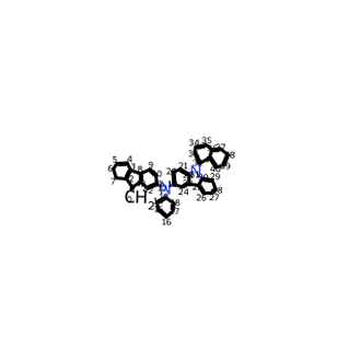 C=C1C2=C(C=CCC2)c2ccc(N(c3ccccc3)c3ccc4c(c3)c3ccccc3n4-c3cccc4ccccc34)cc21